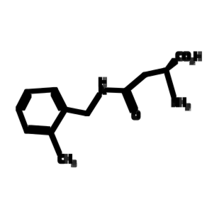 Cc1ccccc1CNC(=O)C[C@H](N)C(=O)O